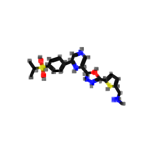 CNCc1ccc(-c2nnc(-c3cncc(-c4ccc(S(=O)(=O)C(C)C)cc4)n3)o2)s1